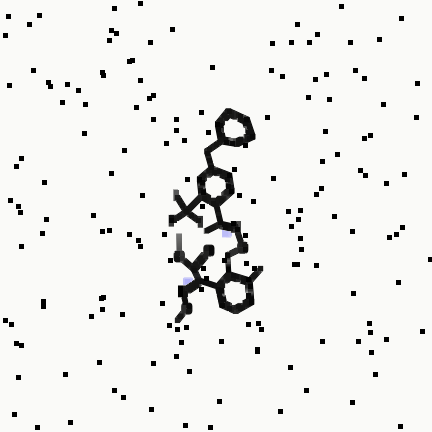 CO/N=C(/C(=O)OC)c1cccc(C)c1CO/N=C(\C)c1ccc(Cc2ccccc2)cc1C(F)(I)I